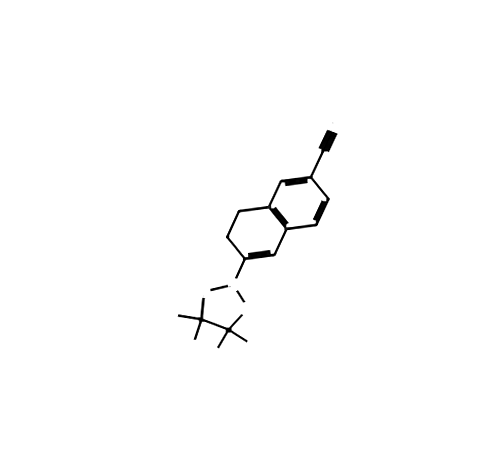 CC1(C)OB(C2=Cc3ccc(C#N)cc3CC2)OC1(C)C